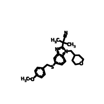 COc1ccc(CSc2ccc3c(c2)nc(C(C)(C)C#N)n3CC2CCOCC2)cc1